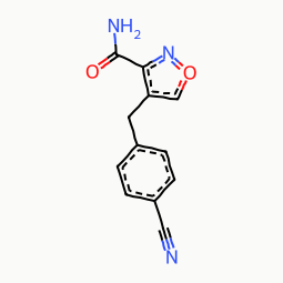 N#Cc1ccc(Cc2conc2C(N)=O)cc1